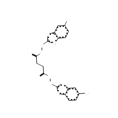 CCc1ccc2nc(SOC(=O)CCC(=O)OSc3nc4ccc(CC)cc4s3)sc2c1